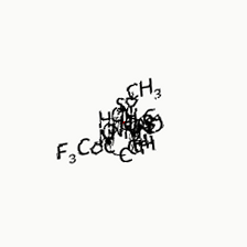 Cc1ccc2nc(O[C@@H]3C[C@H]4C(=O)N[C@]5(C(=O)NS(=O)(=O)C6(C)CC6)C[C@H]5CCCCCCC[C@H](Nc5cccc(C(F)(F)F)c5)C(=O)N4C3)sc2c1